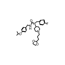 CC(C)Oc1ccc(CNC(=O)N(Cc2ccc(F)cc2)C2CCN(CCCC3OCCO3)CC2)cc1